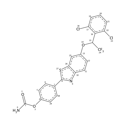 NC(=O)Oc1ccc(-c2nc3ccc(OC(c4c(Cl)cccc4Cl)C(F)(F)F)cc3s2)cc1